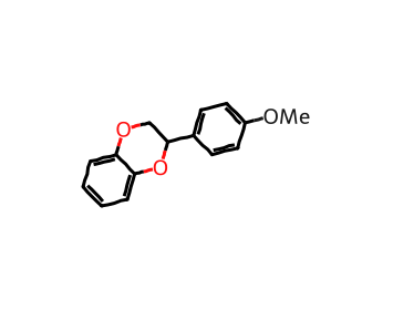 COc1ccc(C2COc3ccccc3O2)cc1